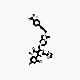 COC(=O)C1=C(CN2CCN3C(=O)N(CC#Cc4ccc(C(N)=O)cc4)CC3C2)NC(c2nccs2)=NC1c1ccc(F)cc1Cl